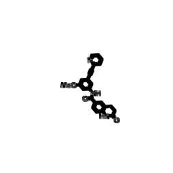 COc1cc(C#Cc2ccccn2)cc(NC(=O)c2ccc3c(c2)CCC(=O)N3)c1